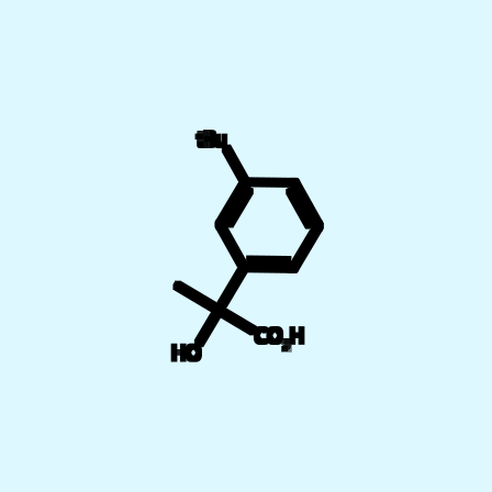 CC(C)(C)c1cccc(C(C)(O)C(=O)O)c1